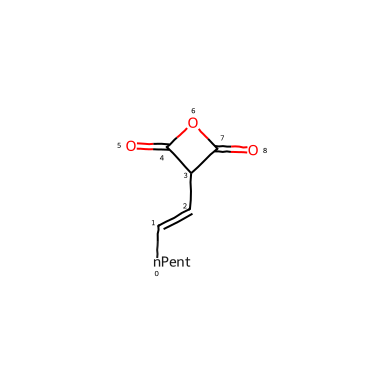 CCCCCC=CC1C(=O)OC1=O